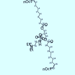 CCCCCCCC/C=C\CCCCCCCC(=O)OCC(COC(=O)CCCCCCC/C=C\CCCCCCCC)OS(=O)(=O)NCCN(CC)CC